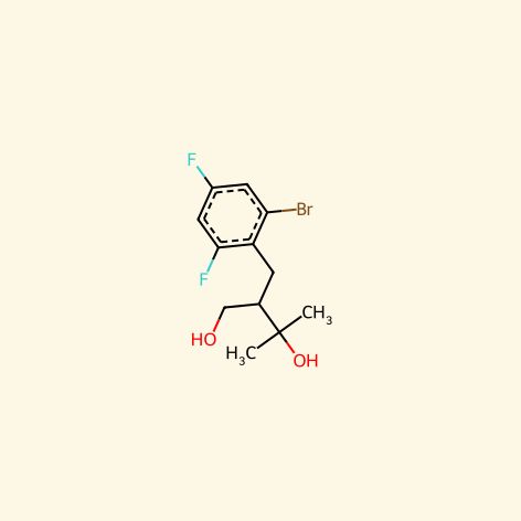 CC(C)(O)C(CO)Cc1c(F)cc(F)cc1Br